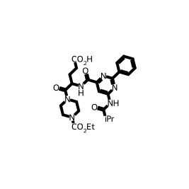 CCOC(=O)N1CCN(C(=O)C(CCC(=O)O)NC(=O)c2cc(NC(=O)C(C)C)nc(-c3ccccc3)n2)CC1